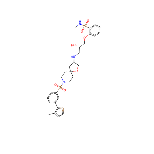 CNS(=O)(=O)c1ccccc1OC[C@@H](O)CNC1COC2(CCN(S(=O)(=O)c3cccc(-c4sccc4C)c3)CC2)C1